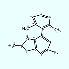 [CH2]C1Cc2cc(F)cc(-c3c(C)cccc3C)c2O1